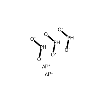 [Al+3].[Al+3].[O-]P[O-].[O-]P[O-].[O-]P[O-]